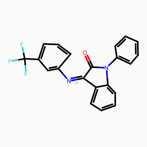 O=C1/C(=N\c2cccc(C(F)(F)F)c2)c2ccccc2N1c1ccccc1